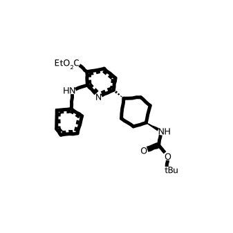 CCOC(=O)c1ccc([C@H]2CC[C@H](NC(=O)OC(C)(C)C)CC2)nc1Nc1ccccc1